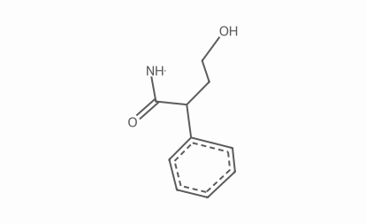 [NH]C(=O)C(CCO)c1ccccc1